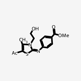 COC(=O)c1ccc(N=c2sc(C(C)=O)c(C)n2CCO)cc1